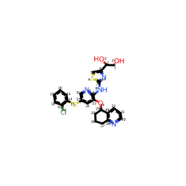 OCC(O)c1csc(Nc2ncc(Sc3ccccc3Cl)cc2OC2CCCc3ncccc32)n1